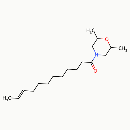 CC=CCCCCCCCCC(=O)N1CC(C)OC(C)C1